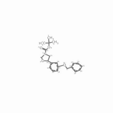 CC(C)(C)OC(=O)N1COC(c2cccc(OCc3ccccc3)c2)C1